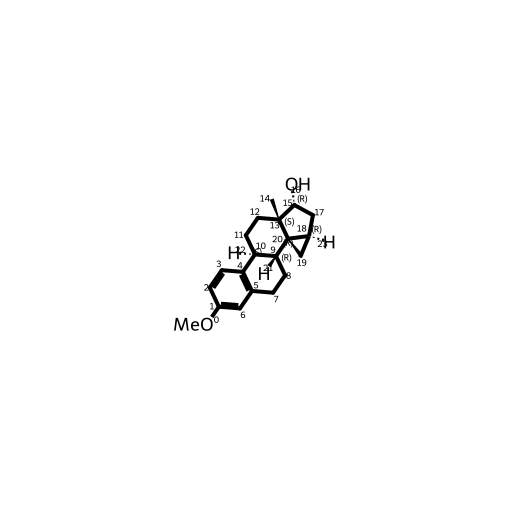 COc1ccc2c(c1)CC[C@@H]1[C@@H]2CC[C@]2(C)[C@H](O)C[C@H]3C[C@@]312